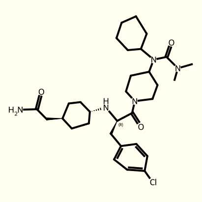 CN(C)C(=O)N(C1CCCCC1)C1CCN(C(=O)[C@@H](Cc2ccc(Cl)cc2)N[C@H]2CC[C@H](CC(N)=O)CC2)CC1